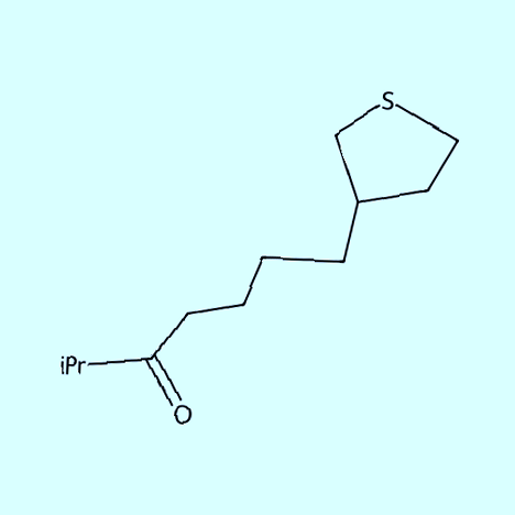 CC(C)C(=O)CCCCC1CCSC1